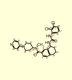 CN(C(=O)c1ccc2c(c1)C(NC(=O)Nc1cccc(Cl)c1Cl)CCC2)C1CCN(c2ccncc2)CC1